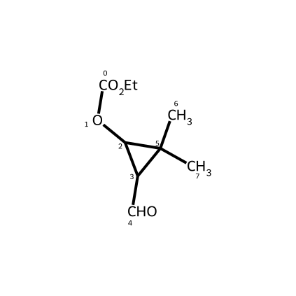 CCOC(=O)OC1C(C=O)C1(C)C